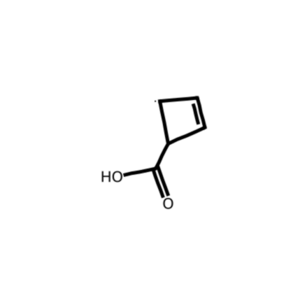 O=C(O)C1[CH]C=C1